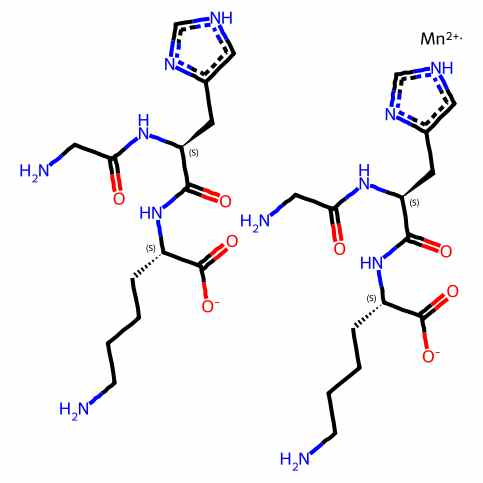 NCCCC[C@H](NC(=O)[C@H](Cc1c[nH]cn1)NC(=O)CN)C(=O)[O-].NCCCC[C@H](NC(=O)[C@H](Cc1c[nH]cn1)NC(=O)CN)C(=O)[O-].[Mn+2]